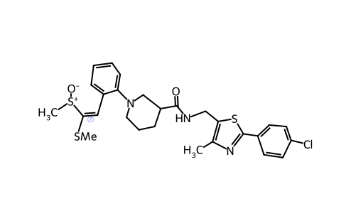 CS/C(=C/c1ccccc1N1CCCC(C(=O)NCc2sc(-c3ccc(Cl)cc3)nc2C)C1)[S+](C)[O-]